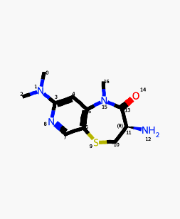 CN(C)c1cc2c(cn1)SC[C@H](N)C(=O)N2C